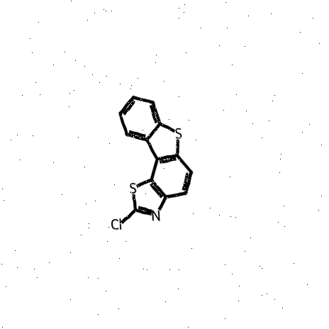 Clc1nc2ccc3sc4ccccc4c3c2s1